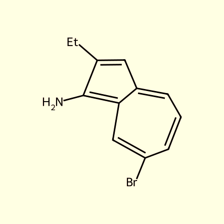 CCc1cc2cccc(Br)cc-2c1N